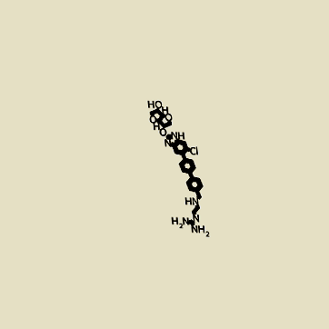 NC(N)=NCCNCc1ccc(-c2ccc(-c3cc4nc(O[C@@H]5CO[C@H]6[C@@H]5OC[C@H]6O)[nH]c4cc3Cl)cc2)cc1